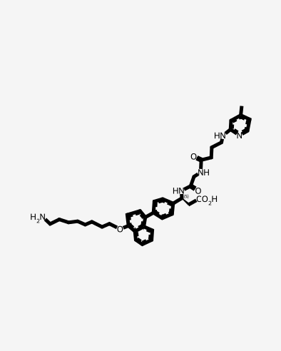 Cc1ccnc(NCCCC(=O)NCC(=O)N[C@@H](CC(=O)O)c2ccc(-c3ccc(OCCCCCCCCN)c4ccccc34)cc2)c1